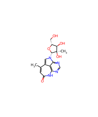 CC1=CC(=O)Nc2ncnc3c2c1cn3[C@@H]1O[C@H](CO)[C@@H](O)[C@@]1(C)O